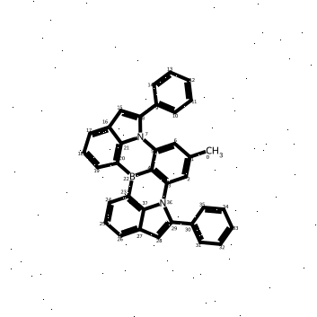 Cc1cc2c3c(c1)-n1c(-c4ccccc4)cc4cccc(c41)B3c1cccc3cc(-c4ccccc4)n-2c13